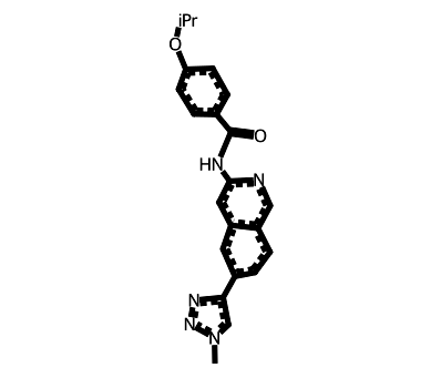 CC(C)Oc1ccc(C(=O)Nc2cc3cc(-c4cn(C)nn4)ccc3cn2)cc1